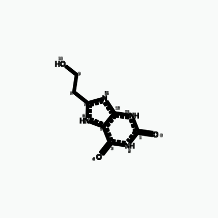 O=c1[nH]c(=O)c2[nH]c(CCO)nc2[nH]1